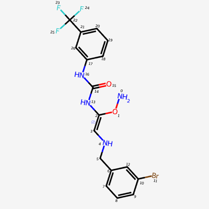 NO/C(=C\NCc1cccc(Br)c1)NC(=O)Nc1cccc(C(F)(F)F)c1